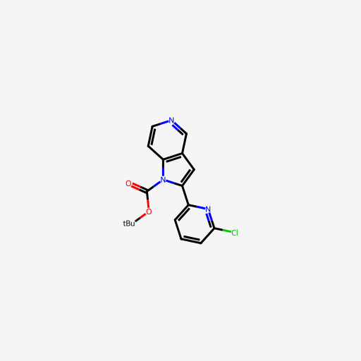 CC(C)(C)OC(=O)n1c(-c2cccc(Cl)n2)cc2cnccc21